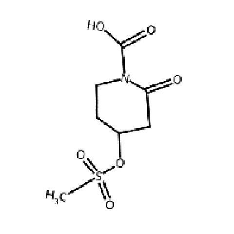 CS(=O)(=O)OC1CCN(C(=O)O)C(=O)C1